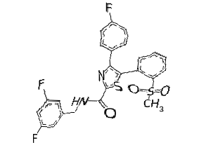 CS(=O)(=O)c1ccccc1-c1sc(C(=O)NCc2cc(F)cc(F)c2)nc1-c1ccc(F)cc1